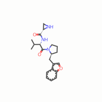 CC(C)[C@H](NC(=O)[C@@H]1CN1)C(=O)N1CCC[C@H]1Cc1coc2ccccc12